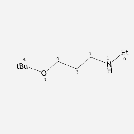 CCNCCCOC(C)(C)C